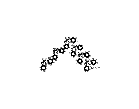 S=P([S-])(Oc1ccccc1)Oc1ccccc1.S=P([S-])(Oc1ccccc1)Oc1ccccc1.S=P([S-])(Oc1ccccc1)Oc1ccccc1.S=P([S-])(Oc1ccccc1)Oc1ccccc1.S=P([S-])(Oc1ccccc1)Oc1ccccc1.S=P([S-])(Oc1ccccc1)Oc1ccccc1.[Mo+6]